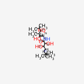 CC(C)CC(C)[C@@H](O)[C@H](CO)NC(=O)C(O)C(O)/C=C/C(C)(C)C